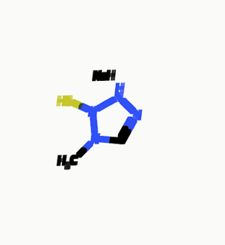 CN1C=NNN1S.[NaH]